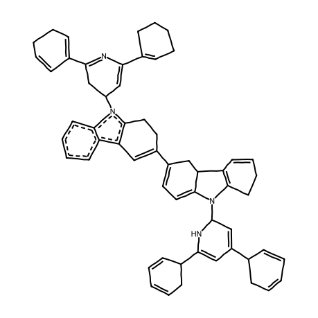 C1=CCC(C2=CC(N3C4=CC=C(C5=Cc6c(n(C7C=C(C8=CCCCC8)N=C(C8=CCCC=C8)C7)c7ccccc67)CC5)CC4C4=C3CCC=C4)NC(C3C=CC=CC3)=C2)C=C1